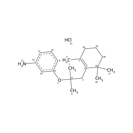 CC1=C(CC(C)(C)Oc2cccc(N)c2)C(C)(C)CCC1.Cl